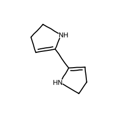 C1=C(C2=CCCN2)NCC1